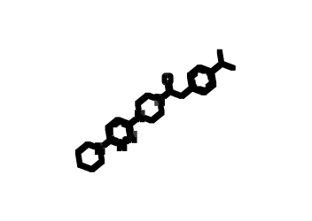 CC(C)c1ccc(CC(=O)N2CCN(c3ccc(N4CCCCC4)nn3)CC2)cc1